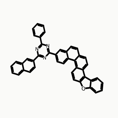 c1ccc(-c2nc(-c3ccc4ccccc4c3)nc(-c3ccc4c(ccc5ccc6c(ccc7oc8ccccc8c76)c54)c3)n2)cc1